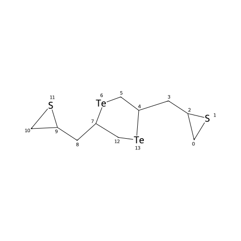 C1SC1CC1C[Te]C(CC2CS2)C[Te]1